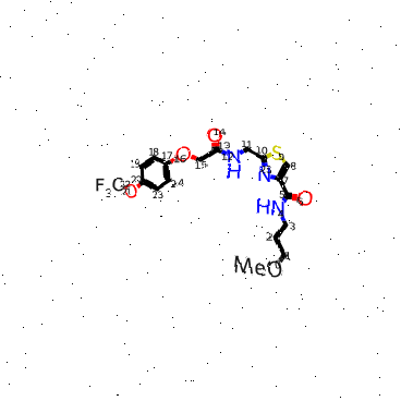 COCCCNC(=O)c1csc(CNC(=O)COc2ccc(OC(F)(F)F)cc2)n1